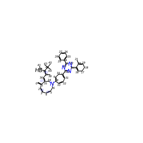 C=C1/C=C\C=C/CN(C2=CCC(c3nc(C4=CCCC=C4C)nc(-c4ccccc4)n3)=CC=C2)C/C1=C\C(C)=C(/BC)C(C)(C)C